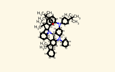 CC(C)(C)c1ccc(N(c2ccc(C(C)(C)C)cc2)c2ccc3c(c2)B2c4c(cc5c(c4-c4cccc6c7c(n2c46)-c2ccccc2C7(C)C)C(C)(C)c2ccccc2-5)N3c2ccccc2)cc1